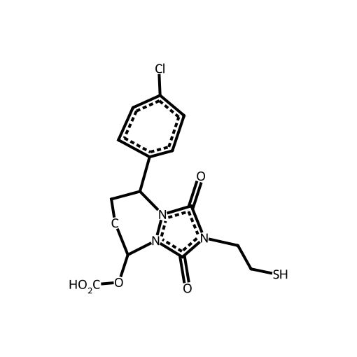 O=C(O)OC1CCC(c2ccc(Cl)cc2)n2c(=O)n(CCS)c(=O)n21